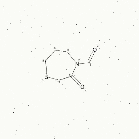 O=CN1CCCSCC1=O